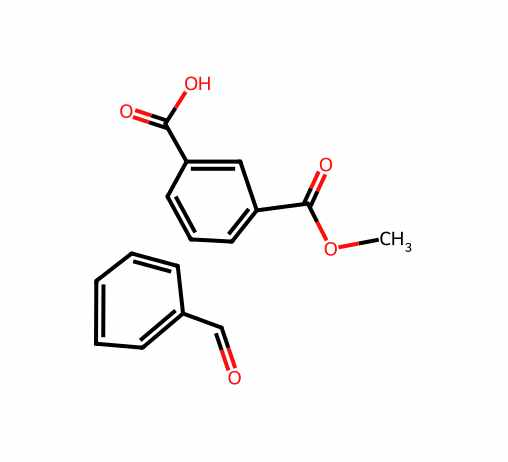 COC(=O)c1cccc(C(=O)O)c1.O=Cc1ccccc1